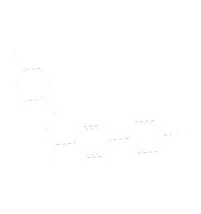 C/C(=C/CN1CCN(C)CC1)c1ccc(-c2ccc(F)cc2)cc1